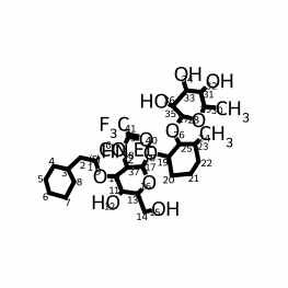 CCOC(=O)[C@H](CC1CCCCC1)OC1C(O)C(CO)OC(OC2CCCC(C)C2OC2OC(C)C(O)C(O)C2O)C1NC(=O)C(F)(F)F